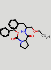 O=C(O)COCC(Cc1ccccc1)NC(=O)C1CCCN1C(=O)OCc1ccccc1